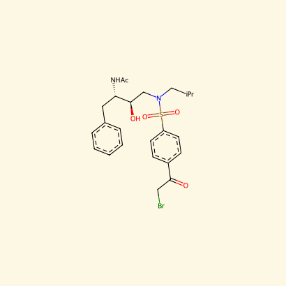 CC(=O)N[C@@H](Cc1ccccc1)[C@H](O)CN(CC(C)C)S(=O)(=O)c1ccc(C(=O)CBr)cc1